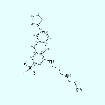 NCCNCCCNc1cc(C(F)(F)F)cc2c1Nc1ccc(C3CCCC3)cc1S2